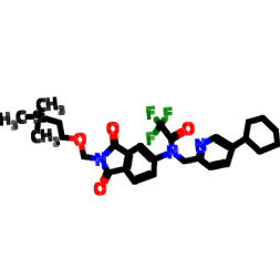 C[Si](C)(C)CCOCN1C(=O)c2ccc(N(Cc3ccc(C4CCCCC4)cn3)C(=O)C(F)(F)F)cc2C1=O